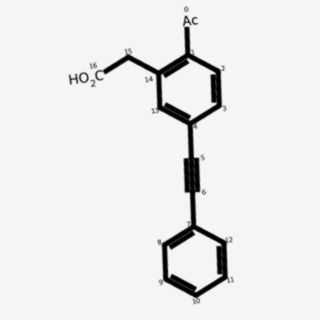 CC(=O)c1ccc(C#Cc2ccccc2)cc1CC(=O)O